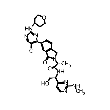 CNc1nccc([C@@H](CO)NC(=O)[C@@H](C)N2Cc3ccc(-c4nc(NC5CCOCC5)ncc4Cl)cc3C2=O)n1